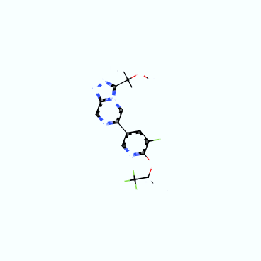 COC(C)(C)c1nnc2cnc(-c3cnc(O[C@@H](C)C(F)(F)F)c(F)c3)cn12